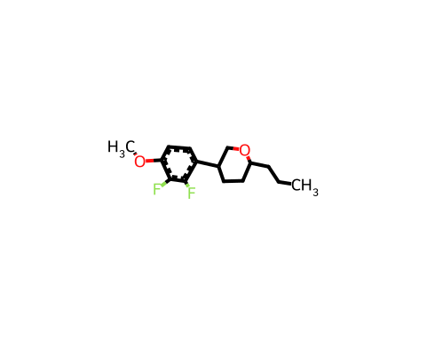 CCCC1CCC(c2ccc(OC)c(F)c2F)CO1